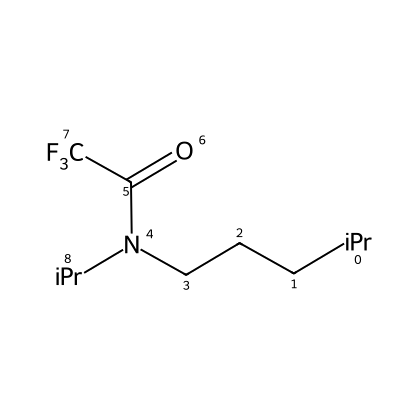 CC(C)CCCN(C(=O)C(F)(F)F)C(C)C